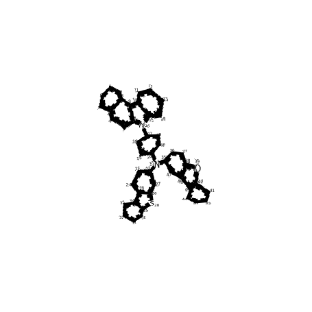 c1ccc2c(c1)ccc1c2c2ccccc2n1-c1ccc(N(c2ccc3c(c2)sc2ccccc23)c2ccc3oc4ccccc4c3c2)cc1